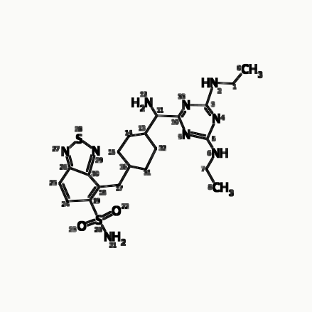 CCNc1nc(NCC)nc(C(N)C2CCC(Cc3c(S(N)(=O)=O)ccc4nsnc34)CC2)n1